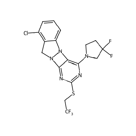 FC(F)(F)CSc1nc(N2CCC(F)(F)C2)c2c(n1)n1n2-c2cccc(Cl)c2C1